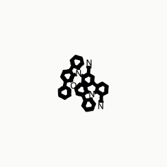 N#Cc1cc(-c2cccc(C#N)c2-n2c3ccccc3c3ccccc32)ccc1-n1c2ccccc2c2ccc3c4ccccc4oc3c21